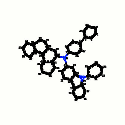 c1ccc(-c2ccc(N(c3ccc4c5ccccc5n(-c5ccccc5)c4c3)c3cc4ccc5ccccc5c4c4ccccc34)cc2)cc1